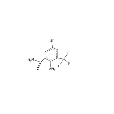 NC(=O)c1cc(Br)cc(C(F)(F)F)c1N